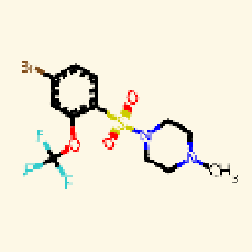 CN1CCN(S(=O)(=O)c2ccc(Br)cc2OC(F)(F)F)CC1